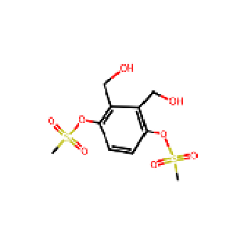 CS(=O)(=O)Oc1ccc(OS(C)(=O)=O)c(CO)c1CO